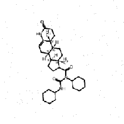 C[C@]12CCC(=O)NC1=CC[C@@H]1[C@H]2CC[C@]2(C)C(C(=O)N(C(=O)NC3CCCCC3)C3CCCCC3)CC[C@@H]12